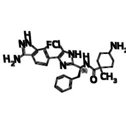 CC1(C(=O)N[C@@H](Cc2ccccc2)c2nc(-c3ccc4c(N)n[nH]c4c3F)c(Cl)[nH]2)CCC(N)CC1